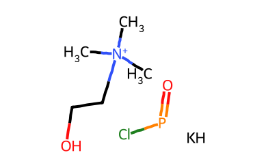 C[N+](C)(C)CCO.O=PCl.[KH]